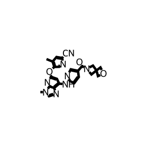 Cc1cc(C#N)ncc1Oc1cc(Nc2ccc(C(=O)N3CC4(COC4)C3)cn2)c2ncn(C)c2n1